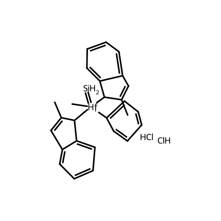 CC1=Cc2ccccc2[CH]1[Hf]([CH3])(=[SiH2])([c]1ccccc1)[CH]1C(C)=Cc2ccccc21.Cl.Cl